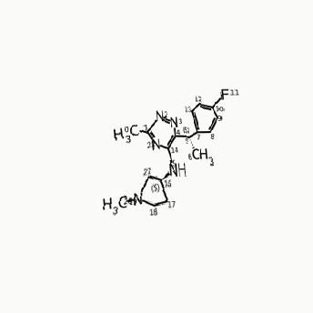 Cc1nnc([C@@H](C)c2ccc(F)cc2)c(N[C@H]2CCN(C)C2)n1